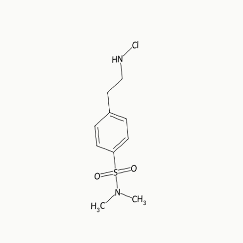 CN(C)S(=O)(=O)c1ccc(CCNCl)cc1